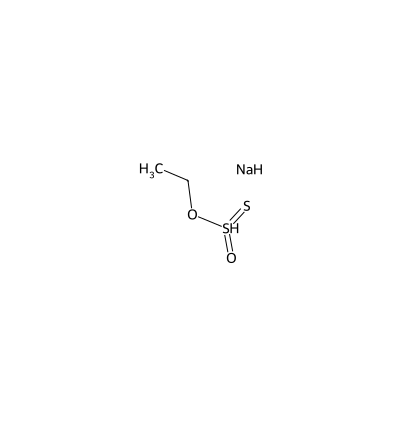 CCO[SH](=O)=S.[NaH]